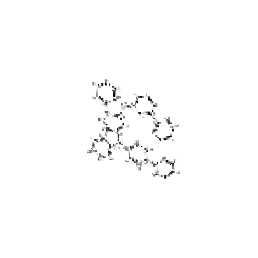 c1ccc(-c2cccc(-n3c4ccccc4c4cc5c6ccccc6n(-c6cnc(-c7ccccc7)nc6)c5cc43)c2)cc1